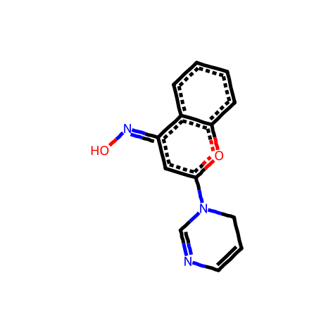 ON=c1cc(N2C=NC=CC2)oc2ccccc12